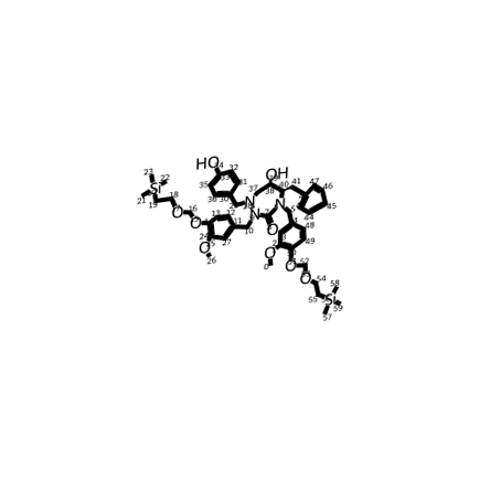 COc1cc(CN2C(=O)N(Cc3ccc(OCOCC[Si](C)(C)C)c(OC)c3)N(Cc3ccc(O)cc3)C[C@@H](O)[C@H]2Cc2ccccc2)ccc1OCOCC[Si](C)(C)C